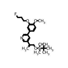 C=C(CO[Si](C)(C)C(C)(C)C)c1cncc(-c2ccc(OC)c(OCCCF)c2)c1